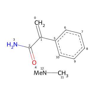 C=C(C(N)=O)c1ccccc1.CNC